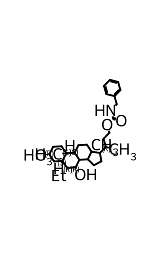 CC[C@H]1[C@@H](O)C2C3CCC([C@H](C)CCOC(=O)NCc4ccccc4)C3(C)CC[C@@H]2[C@@]2(C)CC[C@@H](O)C[C@@H]12